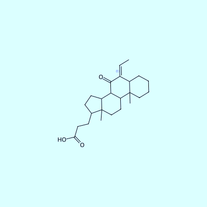 C/C=C1/C(=O)C2C3CCC(CCC(=O)O)C3(C)CCC2C2(C)CCCCC12